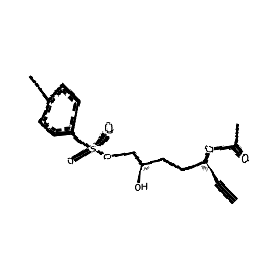 C#C[C@@H](CC[C@@H](O)COS(=O)(=O)c1ccc(C)cc1)OC(C)=O